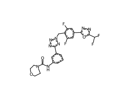 O=C(Nc1cccc(-c2nnn(Cc3c(F)cc(-c4nnc(C(F)F)o4)cc3F)n2)c1)N1CCOCC1